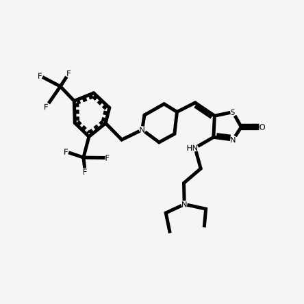 CCN(CC)CCNC1=NC(=O)SC1=CC1CCN(Cc2ccc(C(F)(F)F)cc2C(F)(F)F)CC1